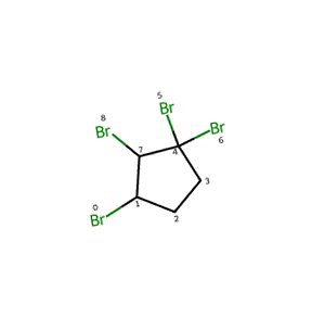 BrC1CCC(Br)(Br)C1Br